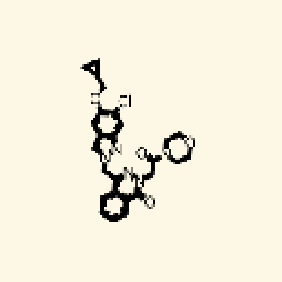 O=C(Cn1nc(Cn2cc3cc(OCC4CC4)c(Cl)cc3n2)c2ccccc2c1=O)N1CCOCC1